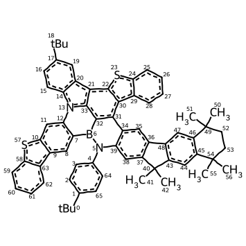 CC(C)(C)c1ccc(N2B3c4cc5c(cc4-n4c6ccc(C(C)(C)C)cc6c6c7sc8ccccc8c7c(c3c64)-c3cc4c(cc32)C(C)(C)c2cc3c(cc2-4)C(C)(C)CCC3(C)C)sc2ccccc25)cc1